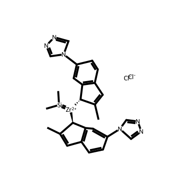 CC1=Cc2ccc(-n3cnnc3)cc2[C@@H]1[Zr+2]([C@H]1C(C)=Cc2ccc(-n3cnnc3)cc21)=[Si](C)C.[Cl-].[Cl-]